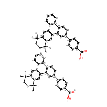 CC1(C)CCC(C)(C)c2cc(-c3cc(-c4ccc(C(=O)O)cc4)ccc3-c3ccccc3)ccc21.CC1(C)CCC(C)(C)c2cc(-c3cc(-c4ccc(C(=O)O)cc4)ccc3-c3ccccc3)ccc21